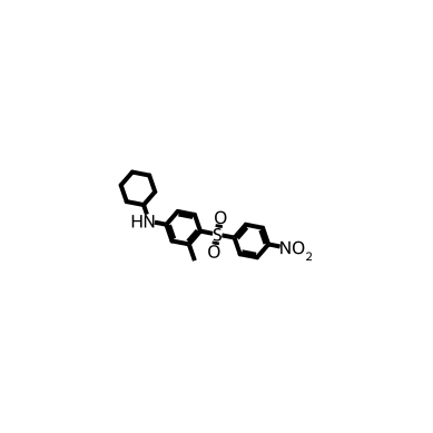 Cc1cc(NC2CCCCC2)ccc1S(=O)(=O)c1ccc([N+](=O)[O-])cc1